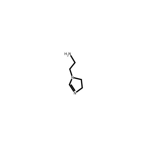 NCCN1C=NCC1